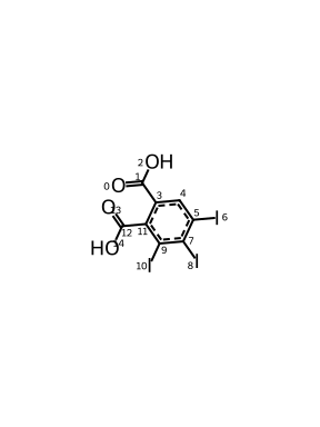 O=C(O)c1cc(I)c(I)c(I)c1C(=O)O